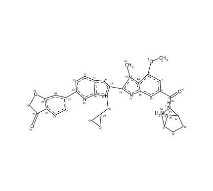 COc1cc(C(=O)N2CC3CCC2[C@@H]3N)cc2nc(-c3cc4ccc(-c5ccc6c(c5)OCC6=O)nc4n3CC3CC3)n(C)c12